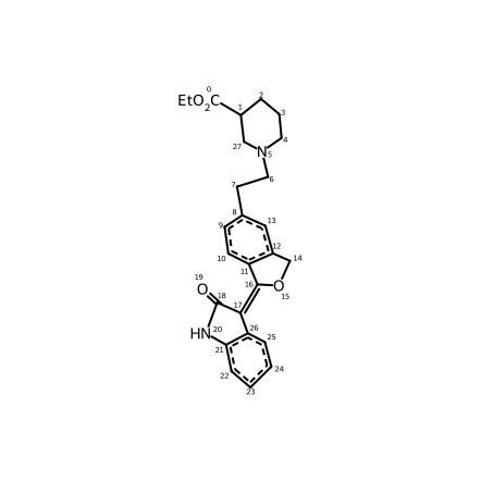 CCOC(=O)C1CCCN(CCc2ccc3c(c2)COC3=C2C(=O)Nc3ccccc32)C1